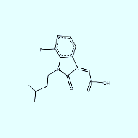 CC(C)CCN1C(=O)C(=CC(=O)O)c2cccc(F)c21